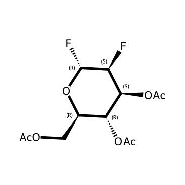 CC(=O)OC[C@H]1O[C@H](F)[C@@H](F)[C@@H](OC(C)=O)[C@@H]1OC(C)=O